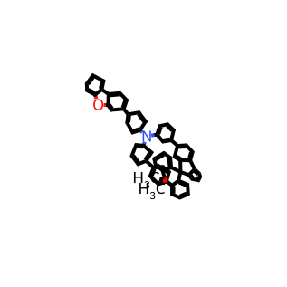 CC1(C)c2ccccc2C2(c3ccccc3-c3ccc(-c4cccc(N(c5ccc(-c6ccc7c(c6)oc6ccccc67)cc5)c5cccc(-c6ccccc6)c5)c4)cc32)c2ccccc21